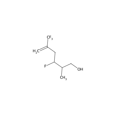 C=C(CC(F)C(C)CO)C(F)(F)F